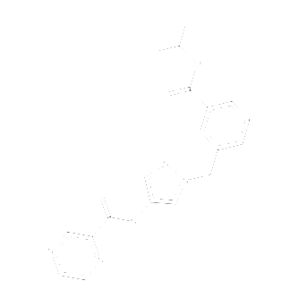 CC(C)NC(=O)c1cccc(Cn2cc(NC(=O)c3cnccn3)cn2)c1